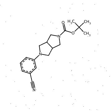 CC(C)(C)OC(=O)N1CC2CN(c3cccc(C#N)c3)CC2C1